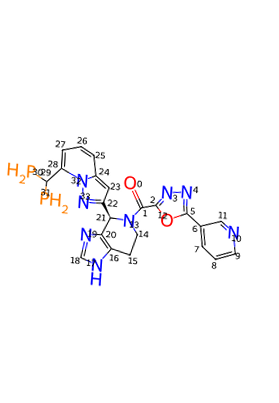 O=C(c1nnc(-c2cccnc2)o1)N1CCc2[nH]cnc2[C@H]1c1cc2cccc(C(P)P)n2n1